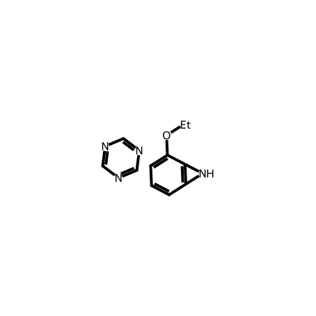 CCOc1cccc2c1N2.c1ncncn1